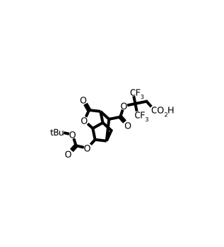 CC(C)(C)OC(=O)OC1C2CC3C1OC(=O)C3C2C(=O)OC(CC(=O)O)(C(F)(F)F)C(F)(F)F